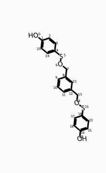 Oc1ccc(SOCc2cccc(COSc3ccc(O)cc3)c2)cc1